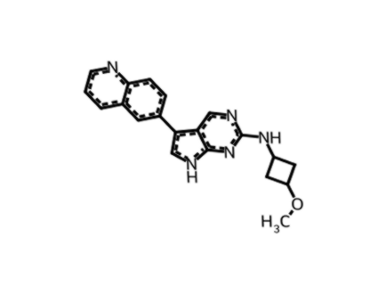 COC1CC(Nc2ncc3c(-c4ccc5ncccc5c4)c[nH]c3n2)C1